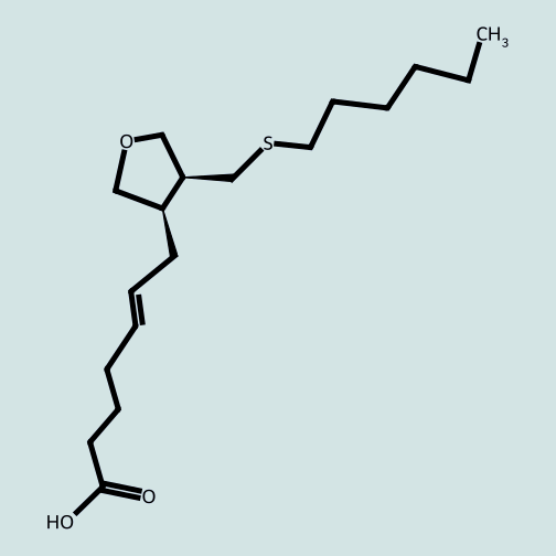 CCCCCCSC[C@@H]1COC[C@@H]1CC=CCCCC(=O)O